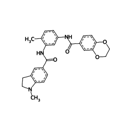 Cc1ccc(NC(=O)c2ccc3c(c2)OCCO3)cc1NC(=O)c1ccc2c(c1)CCN2C